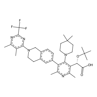 Cc1nc(C(F)(F)F)nc(N2CCc3cc(-c4c(C)nc(C)c([C@H](OC(C)(C)C)C(=O)O)c4N4CCC(C)(C)CC4)ccc3C2)c1C